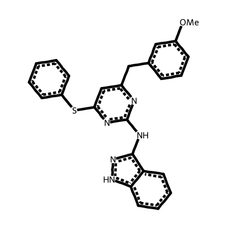 COc1cccc(Cc2cc(Sc3ccccc3)nc(Nc3n[nH]c4ccccc34)n2)c1